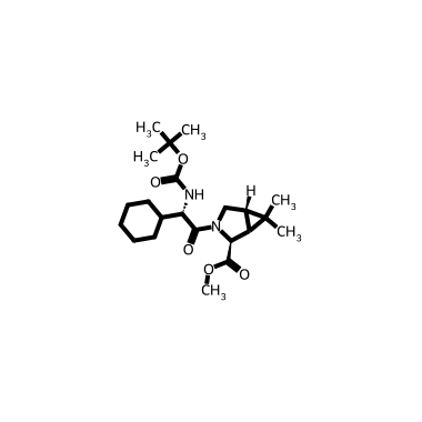 COC(=O)[C@@H]1C2[C@H](CN1C(=O)[C@@H](NC(=O)OC(C)(C)C)C1CCCCC1)C2(C)C